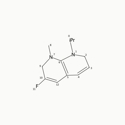 CC(C)N1CC=CC2=C1N(C)CC(F)=C2